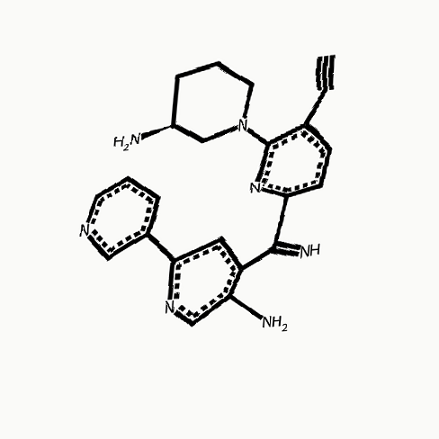 C#Cc1ccc(C(=N)c2cc(-c3cccnc3)ncc2N)nc1N1CCC[C@H](N)C1